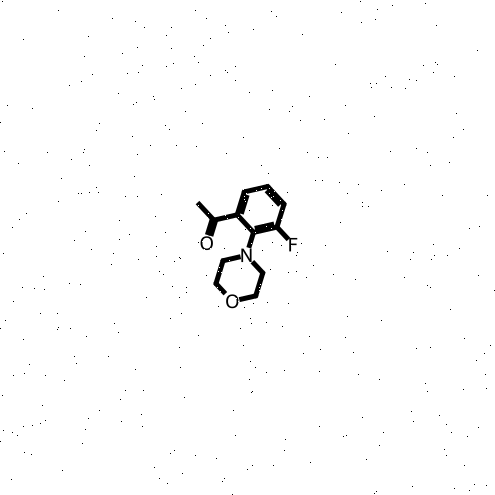 CC(=O)c1cccc(F)c1N1CCOCC1